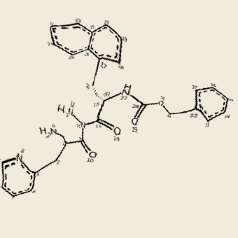 NC(Cc1ccccn1)C(=O)N(N)C(=O)[C@H](Cc1cccc2ccccc12)NC(=O)OCc1ccccc1